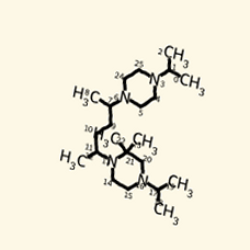 CC(C)N1CCN(C(C)CCC(C)N2CCN(C(C)C)CC2(C)C)CC1